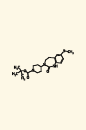 CSc1ccc2c(c1)CCN(C1CCN(C(=O)OC(C)(C)C)CC1)C(=O)N2